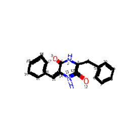 O=C1NC(Cc2ccccc2)C(=O)NC1=Cc1ccccc1